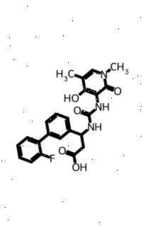 Cc1cn(C)c(=O)c(NC(=O)NC(CC(=O)O)c2cccc(-c3ccccc3F)c2)c1O